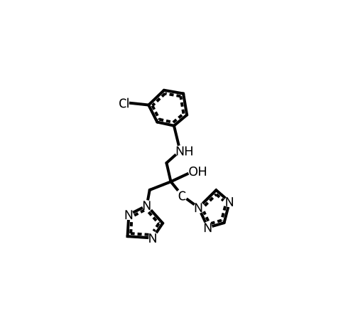 OC(CNc1cccc(Cl)c1)(Cn1cncn1)Cn1cncn1